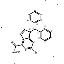 COC(=O)c1cc(Br)cc2c1ccn2C(c1ccccn1)c1ccccn1